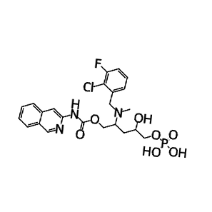 CN(Cc1cccc(F)c1Cl)C(COC(=O)Nc1cc2ccccc2cn1)CC(O)COP(=O)(O)O